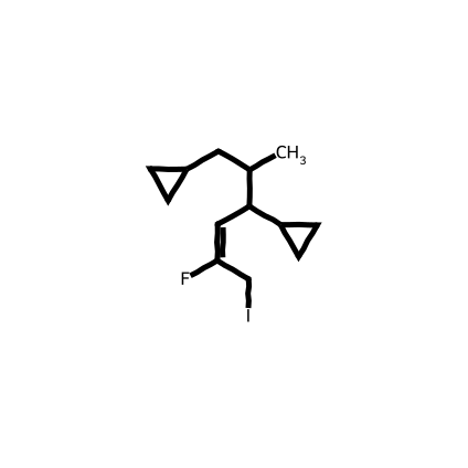 CC(CC1CC1)C(/C=C(/F)CI)C1CC1